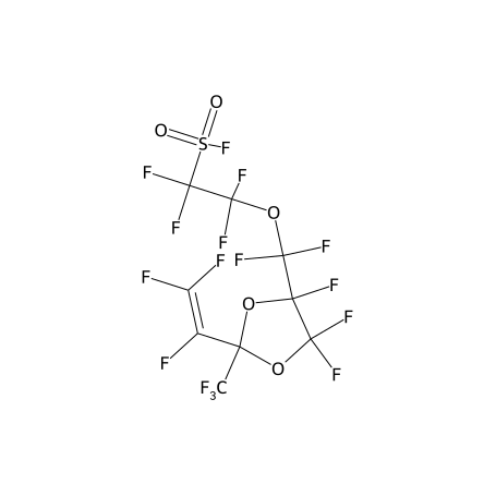 O=S(=O)(F)C(F)(F)C(F)(F)OC(F)(F)C1(F)OC(C(F)=C(F)F)(C(F)(F)F)OC1(F)F